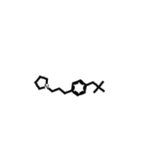 CC(C)(C)Cc1ccc(CCCN2CCCC2)cc1